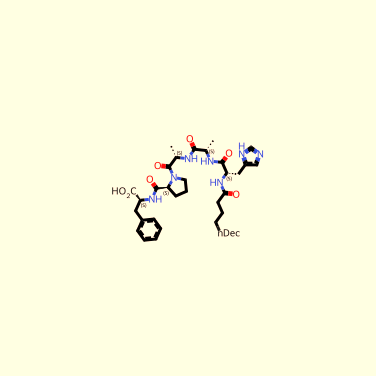 CCCCCCCCCCCCCC(=O)N[C@@H](Cc1cnc[nH]1)C(=O)N[C@@H](C)C(=O)N[C@@H](C)C(=O)N1CCC[C@H]1C(=O)N[C@@H](Cc1ccccc1)C(=O)O